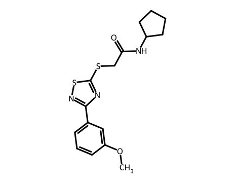 COc1cccc(-c2nsc(SCC(=O)NC3CCCC3)n2)c1